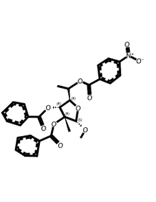 CO[C@H]1O[C@H](C(C)OC(=O)c2ccc([N+](=O)[O-])cc2)[C@@H](OC(=O)c2ccccc2)[C@@]1(C)OC(=O)c1ccccc1